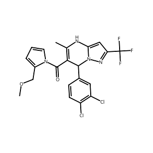 COCc1cccn1C(=O)C1=C(C)Nc2cc(C(F)(F)F)nn2C1c1ccc(Cl)c(Cl)c1